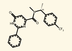 C[C@H](c1ccc(C(F)(F)F)cc1)N(C)C(=O)c1cc(=O)[nH]c(-c2ccccc2)n1